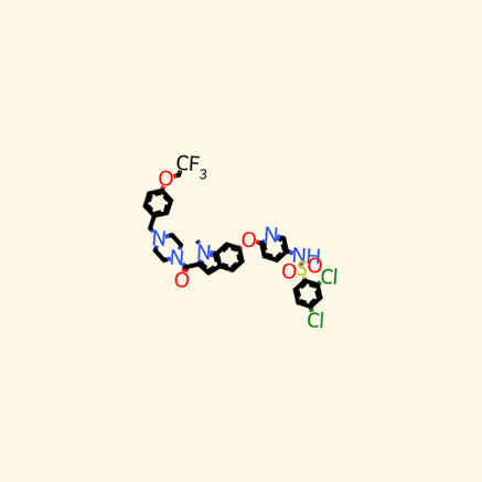 Cn1c(C(=O)N2CCN(Cc3ccc(OCC(F)(F)F)cc3)CC2)cc2ccc(Oc3ccc(NS(=O)(=O)c4ccc(Cl)cc4Cl)cn3)cc21